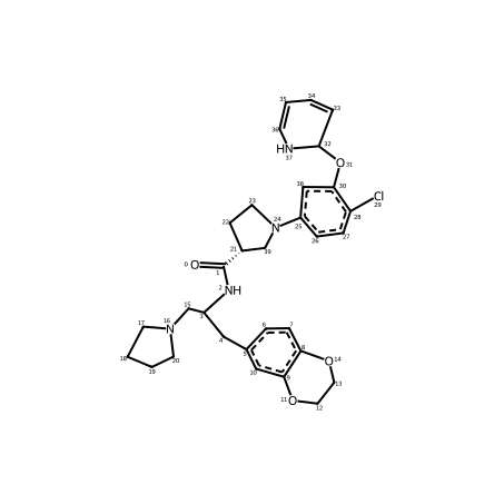 O=C(NC(Cc1ccc2c(c1)OCCO2)CN1CCCC1)[C@@H]1CCN(c2ccc(Cl)c(OC3C=CC=CN3)c2)C1